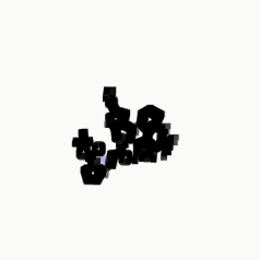 Cn1cc(-c2c(F)cccc2[C@@H]2CN(C(=O)/C=C/[C@@H]3CCCN3C(=O)OC(C)(C)C)Cc3sc(C#N)cc32)c(C(F)(F)F)n1